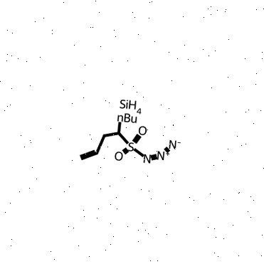 C=CCC(CCCC)S(=O)(=O)N=[N+]=[N-].[SiH4]